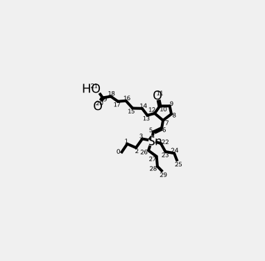 CCC[CH2][Sn](/[CH]=C/C1CCC(=O)C1CCCCCCC(=O)O)([CH2]CCC)[CH2]CCC